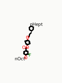 CCCCCCCCOc1ccc(C(=O)Oc2ccc(OCCC[C@H]3CC[C@H](CCCCCCC)CC3)cc2)cc1F